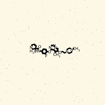 Cc1c(OCCN2CCN(C)CC2)cn2ncnc(Oc3ccc(NC(=O)C4(C)C=CC=NC4)cc3F)c12